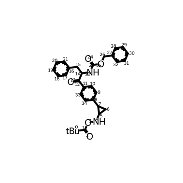 CC(C)(C)C(=O)ONC1CC1c1ccc(C(=O)C(Cc2ccccc2)NC(=O)OCc2ccccc2)cc1